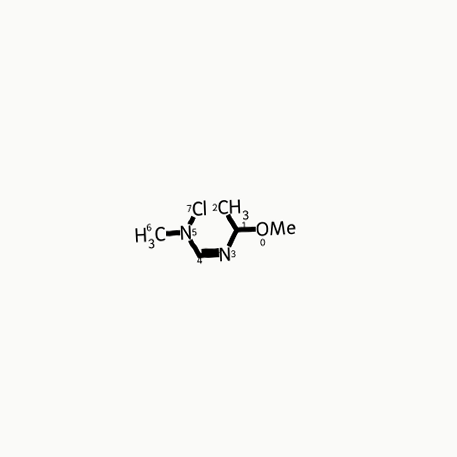 COC(C)/N=C\N(C)Cl